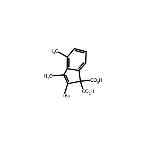 CC1=C(C(C)(C)C)C(C(=O)O)(C(=O)O)c2cccc(C)c21